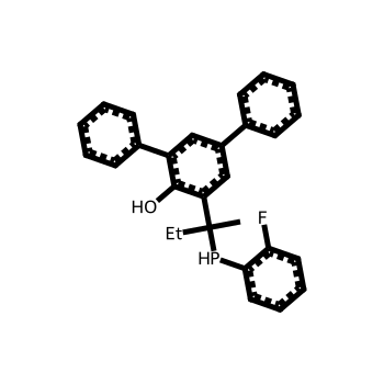 CCC(C)(Pc1ccccc1F)c1cc(-c2ccccc2)cc(-c2ccccc2)c1O